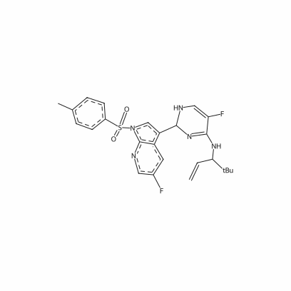 C=CC(NC1=NC(c2cn(S(=O)(=O)c3ccc(C)cc3)c3ncc(F)cc23)NC=C1F)C(C)(C)C